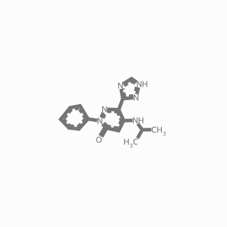 CC(C)Nc1cc(=O)n(-c2ccccc2)nc1-c1nc[nH]n1